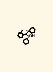 Cc1ccccc1C(=NC1CCCCC1)N(O)C1CCCCC1